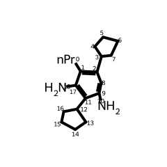 CCCc1c(C2CCCC2)cc(N)c(C2CCCC2)c1N